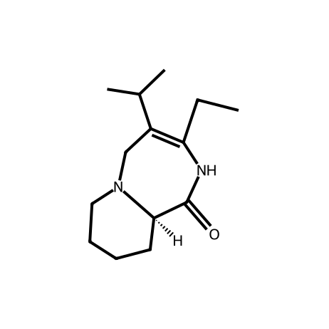 CCC1=C(C(C)C)CN2CCCC[C@@H]2C(=O)N1